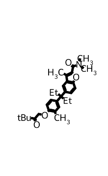 CCC(CC)(c1ccc(OCC(=O)C(C)(C)C)c(C)c1)c1ccc2oc(C(=O)N(C)C)c(C)c2c1